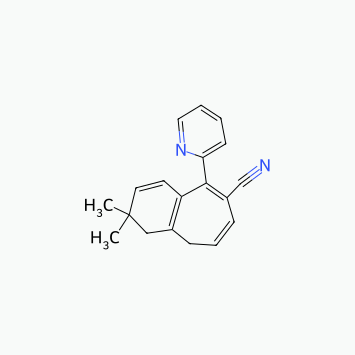 CC1(C)C=CC2=C(CC=CC(C#N)=C2c2ccccn2)C1